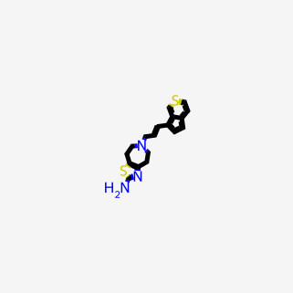 Nc1nc2c(s1)CCN(CC=Cc1ccc3ccscc1-3)CC2